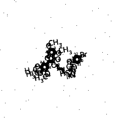 COc1cc(OC)c2c(=O)c(OCCCC[SH]3C=NN=C3OS(=O)(=O)c3ccc(Br)cc3)c(-c3cc(OC)c(OC)c(OC)c3)oc2c1